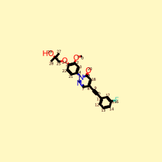 COc1cc(-n2ncc(C#Cc3cccc(F)c3)cc2=O)ccc1OCC(C)(C)O